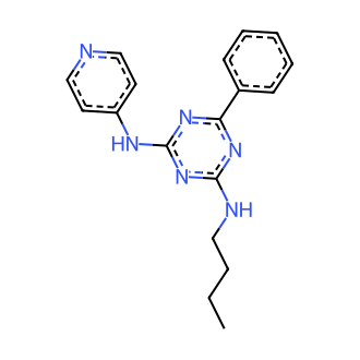 CCCCNc1nc(Nc2ccncc2)nc(-c2ccccc2)n1